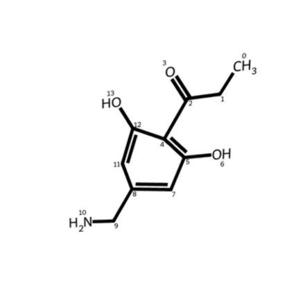 CCC(=O)c1c(O)cc(CN)cc1O